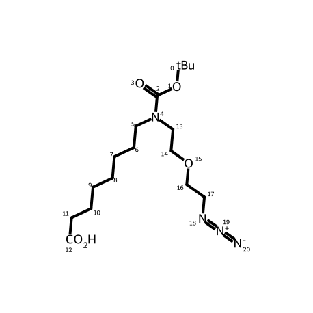 CC(C)(C)OC(=O)N(CCCCCCCC(=O)O)CCOCCN=[N+]=[N-]